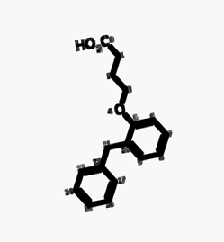 O=C(O)CCCOc1ccccc1Cc1ccccc1